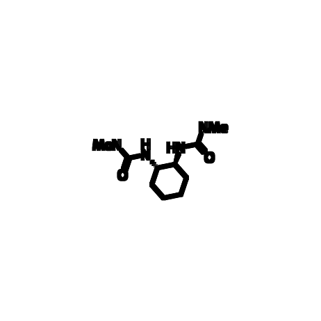 CNC(=O)N[C@H]1CCCC[C@@H]1NC(=O)NC